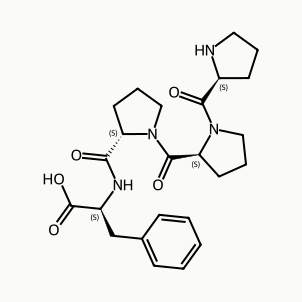 O=C(O)[C@H](Cc1ccccc1)NC(=O)[C@@H]1CCCN1C(=O)[C@@H]1CCCN1C(=O)[C@@H]1CCCN1